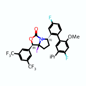 COc1cc(F)c(C(C)C)cc1-c1ccc(F)cc1[C@@H]1CCC2(I)[C@@H](c3cc(C(F)(F)F)cc(C(F)(F)F)c3)OC(=O)N12